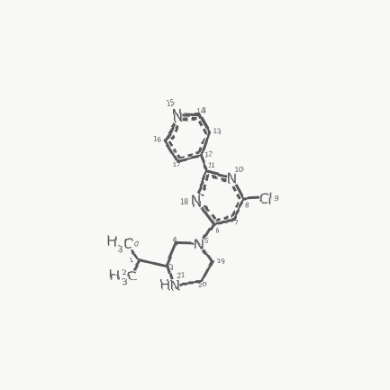 CC(C)C1CN(c2cc(Cl)nc(-c3ccncc3)n2)CCN1